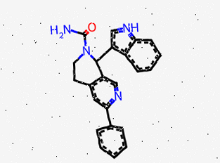 NC(=O)N1CCc2cc(-c3ccccc3)ncc2C1c1c[nH]c2ccccc12